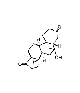 C[C@]12CC[C@H]3[C@@H](CC[C@H]4CC(=O)CC[C@@]43CCO)[C@@H]1CCC2=O